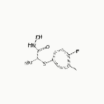 CCCCC(Sc1ccc(F)c(C)c1)C(=O)NO